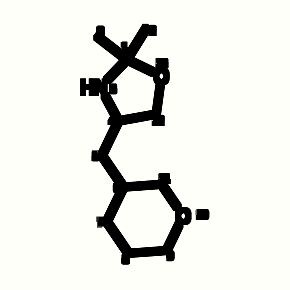 CC1(C)NC(CC2CCCOC2)CO1